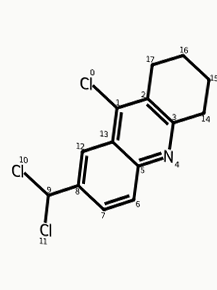 Clc1c2c(nc3ccc(C(Cl)Cl)cc13)CCCC2